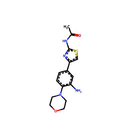 CC(=O)Nc1nc(-c2ccc(N3CCOCC3)c(N)c2)cs1